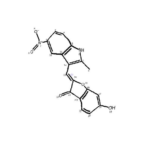 Cc1[nH]c2ccc([N+](=O)[O-])cc2c1/C=C1\Oc2cc(O)ccc2C1=O